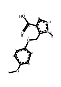 COc1ccc(OCc2c(C(=O)O)cnn2C)cc1